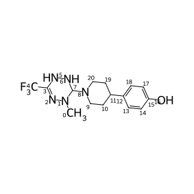 CN1N=C(C(F)(F)F)NNC1N1CCC(c2ccc(O)cc2)CC1